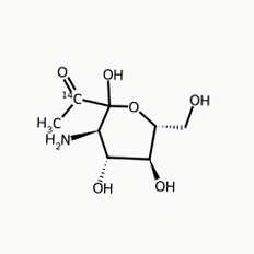 C[14C](=O)C1(O)O[C@H](CO)[C@@H](O)[C@H](O)[C@H]1N